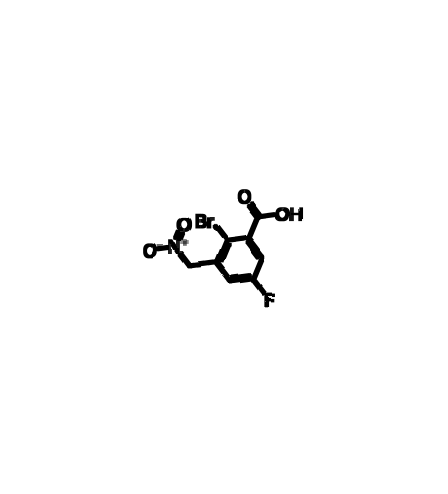 O=C(O)c1cc(F)cc(C[N+](=O)[O-])c1Br